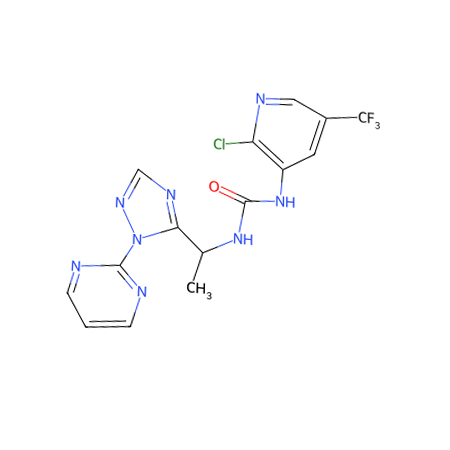 CC(NC(=O)Nc1cc(C(F)(F)F)cnc1Cl)c1ncnn1-c1ncccn1